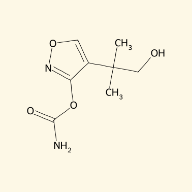 CC(C)(CO)c1conc1OC(N)=O